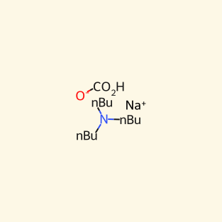 CCCCN(CCCC)CCCC.O=C([O-])O.[Na+]